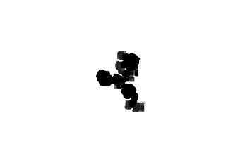 O=C(O)Cc1ccc(-n2nc(-c3ccccc3)cc2NC(=O)Nc2cccc(Cl)c2Cl)cc1